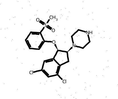 CS(=O)(=O)c1ccccc1O[C@@H]1c2cc(Cl)cc(Cl)c2C[C@@H]1N1CCNCC1